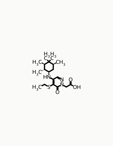 CCSc1c(N[C@@H]2C[C@H](C)C(C)(C)[C@H](C)[C@H]2C)cnn(CC(=O)O)c1=O